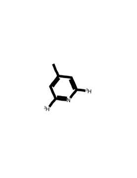 [3H]c1cc(C)cc([3H])n1